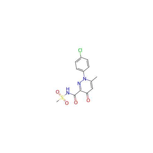 Cc1cc(=O)c(C(=O)NS(C)(=O)=O)nn1-c1ccc(Cl)cc1